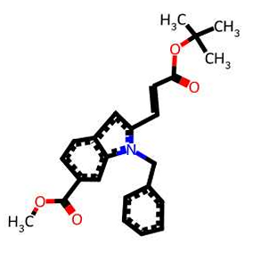 COC(=O)c1ccc2cc(/C=C/C(=O)OC(C)(C)C)n(Cc3ccccc3)c2c1